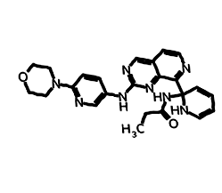 CCC(=O)NC1(c2nccc3cnc(Nc4ccc(N5CCOCC5)nc4)nc23)C=CC=CN1